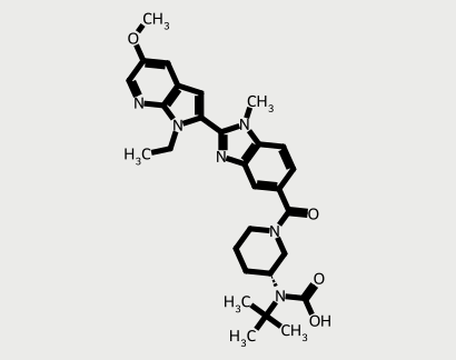 CCn1c(-c2nc3cc(C(=O)N4CCC[C@@H](N(C(=O)O)C(C)(C)C)C4)ccc3n2C)cc2cc(OC)cnc21